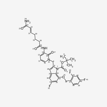 CC(C)(C)OC(=O)n1c(Cn2cccc(NC(=O)CCC/C=C/C(N)=O)c2=O)cc2cc(F)cc(OCc3ccc(F)cc3F)c21